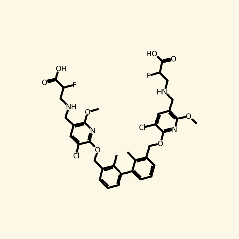 COc1nc(OCc2cccc(-c3cccc(COc4nc(OC)c(CNCC(F)C(=O)O)cc4Cl)c3C)c2C)c(Cl)cc1CNCC(F)C(=O)O